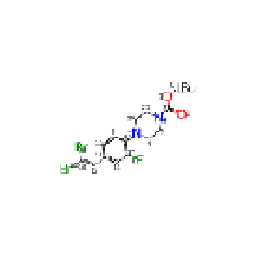 CC(C)(C)OC(=O)N1CCN(c2ccc(C=C(Br)Br)cc2F)CC1